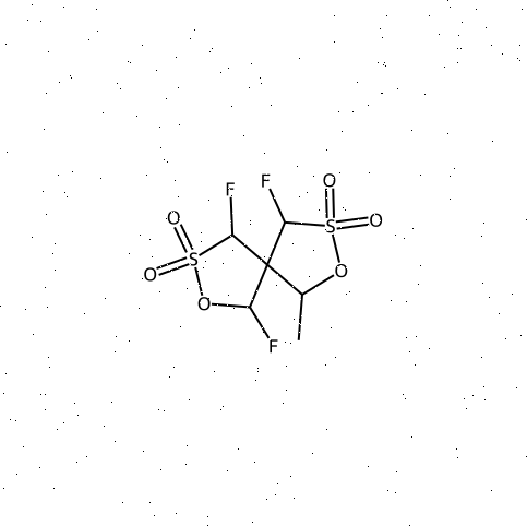 CC1OS(=O)(=O)C(F)C12C(F)OS(=O)(=O)C2F